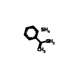 C=C([SiH3])c1ccccc1.[SiH4]